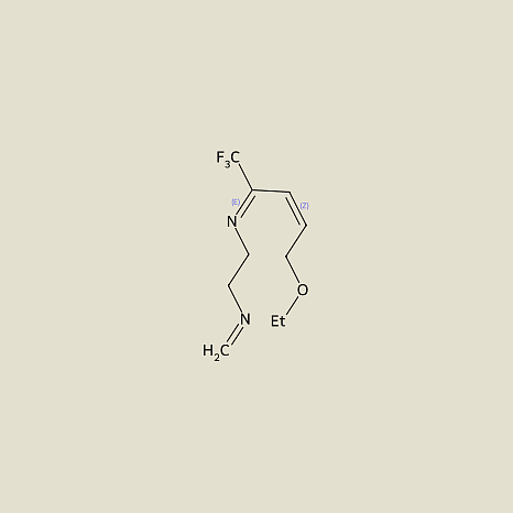 C=NCC/N=C(\C=C/COCC)C(F)(F)F